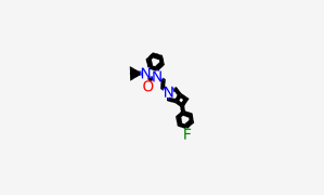 O=c1n(CCN2CC3CC(c4ccc(F)cc4)C3C2)c2ccccc2n1C1CC1